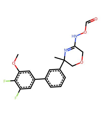 COc1cc(-c2cccc(C3(C)COCC(NOC=O)=N3)c2)cc(F)c1F